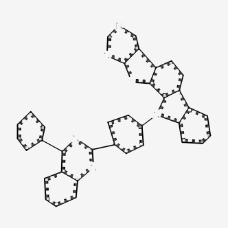 c1ccc(-c2nc(-c3ccc(-n4c5ccccc5c5ccc6c7cncnc7sc6c54)cc3)nc3ccccc23)cc1